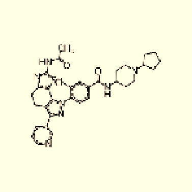 CC(=O)Nc1nc2c(s1)-c1c(c(-c3cccnc3)nn1-c1ccc(C(=O)NC3CCN(C4CCCC4)CC3)cc1Cl)CC2